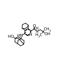 CC(C)(O)CNC(=O)c1ncc(NC23CC4CC(CC(O)(C4)C2)C3)c2c1C1CCC2CC1